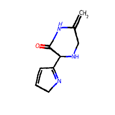 C=C1CNC(C2=NCC=C2)C(=O)N1